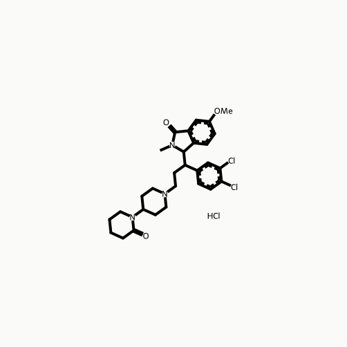 COc1ccc2c(c1)C(=O)N(C)C2C(CCN1CCC(N2CCCCC2=O)CC1)c1ccc(Cl)c(Cl)c1.Cl